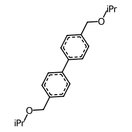 CC(C)OCc1ccc(-c2ccc(COC(C)C)cc2)cc1